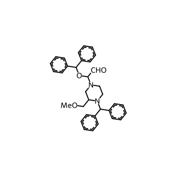 COCC1CN(C(C=O)OC(c2ccccc2)c2ccccc2)CCN1C(c1ccccc1)c1ccccc1